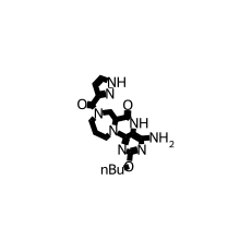 CCCCOc1nc(N)c2c(n1)N1CCCN(C(=O)c3cc[nH]n3)CC1C(=O)N2